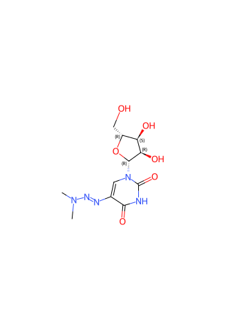 CN(C)N=Nc1cn([C@@H]2O[C@H](CO)[C@@H](O)[C@H]2O)c(=O)[nH]c1=O